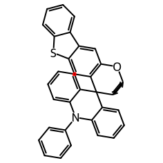 c1ccc(N2c3ccccc3C3(c4ccccc4Oc4cc5c(cc43)sc3ccccc35)c3ccccc32)cc1